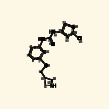 O=C(Nc1cccc(OCC2CNC2)n1)Nc1csc(Cl)n1